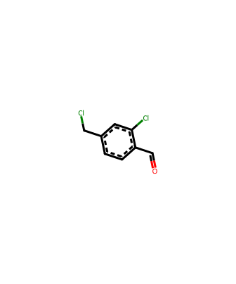 O=Cc1ccc(CCl)cc1Cl